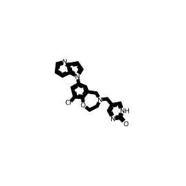 O=c1ncc(CN2CCOc3c(Cl)cc(-n4ccc5ncccc54)cc3C2)c[nH]1